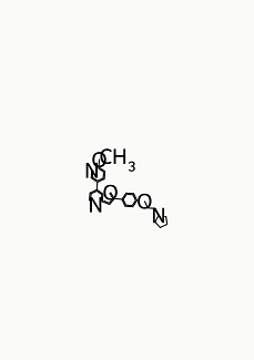 COc1ccc(-c2ccnc3cc(-c4ccc(OCCN5CCCC5)cc4)oc23)cn1